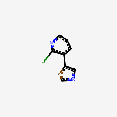 Clc1ncccc1-c1cncs1